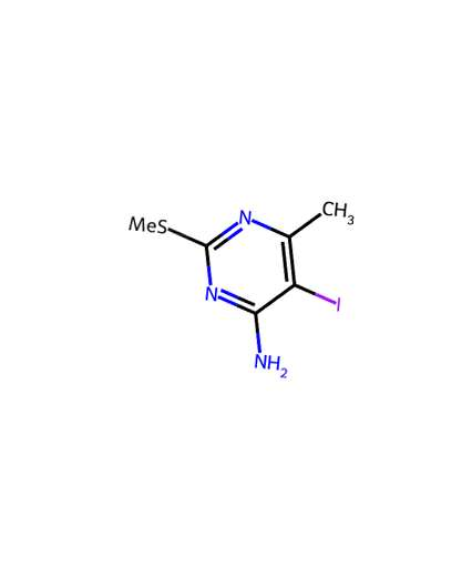 CSc1nc(C)c(I)c(N)n1